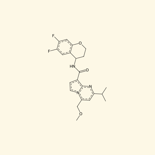 COCc1cc(C(C)C)nc2c(C(=O)NC3CCOc4cc(F)c(F)cc43)ccn12